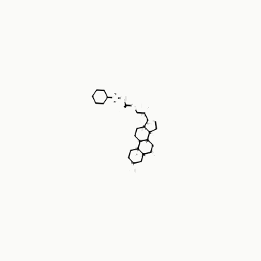 CC[C@H]1[C@@H](O)[C@@H]2[C@H](CC[C@]3(C)[C@@H]([C@H](C)CNC(=O)NS(=O)(=O)C4CCCCC4)CC[C@@H]23)[C@@]2(C)CC[C@@H](O)C[C@@H]12